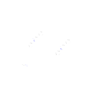 CCCCCCCCc1cc(C)cc(C=C[N+](C)=Nc2cc(CCCC)c(CCCCCC)c(CCCCCCCC)c2)c1.CCCCCCCCc1cc(C)cc(C=C[N+](C)=Nc2cc(CCCC)c(CCCCCC)c(CCCCCCCC)c2)c1.CC[N]([Ni+])CC